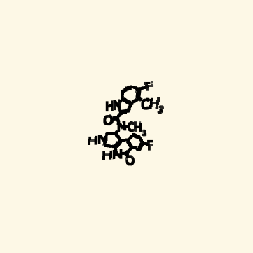 Cc1c(F)ccc2[nH]c(C(=O)N(C)C3CNCc4[nH]c(=O)c5cc(F)ccc5c43)cc12